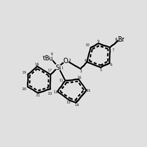 CC(C)(C)[Si](OCc1ccc(Br)cc1)(c1ccccc1)c1ccccc1